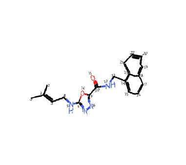 CC(C)=CCNc1nnc(C(=O)NCc2cccc3ccccc23)o1